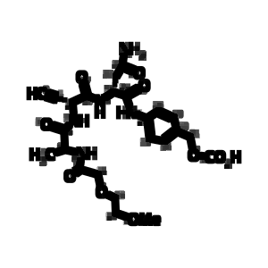 C#C[C@@H](NC(=O)C(C)NC(=O)COCCOC)C(=O)N[C@H](CC(N)=O)C(=O)Nc1ccc(COC(=O)O)cc1